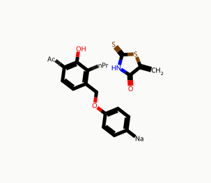 C=C1SC(=S)NC1=O.CCCc1c(COc2cc[c]([Na])cc2)ccc(C(C)=O)c1O